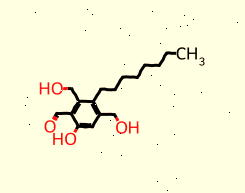 CCCCCCCCc1c(CO)cc(O)c(C=O)c1CO